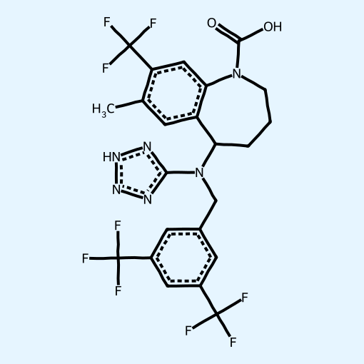 Cc1cc2c(cc1C(F)(F)F)N(C(=O)O)CCCC2N(Cc1cc(C(F)(F)F)cc(C(F)(F)F)c1)c1nn[nH]n1